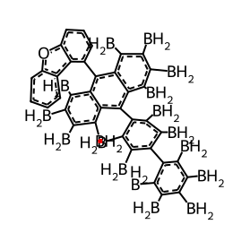 Bc1c(B)c(B)c(-c2c(B)c(B)c(-c3c4c(B)c(B)c(B)c(B)c4c(-c4cccc5oc6ccccc6c45)c4c(B)c(B)c(B)c(B)c34)c(B)c2B)c(B)c1B